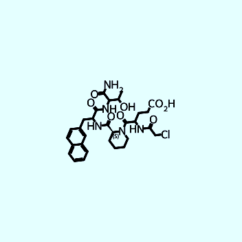 CC(O)C(NC(=O)C(Cc1ccc2ccccc2c1)NC(=O)[C@@H]1CCCCN1C(=O)C(CCC(=O)O)NC(=O)CCl)C(N)=O